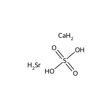 O=S(=O)(O)O.[CaH2].[SrH2]